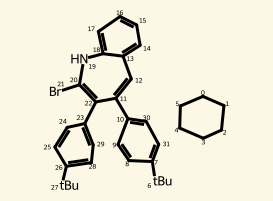 C1CCCCC1.CC(C)(C)c1ccc(C2=Cc3ccccc3NC(Br)=C2c2ccc(C(C)(C)C)cc2)cc1